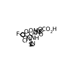 COC(=O)C1=C([C@@H]2CCN(S(=O)(=O)CC(=O)O)C2)NC(c2nccs2)=N[C@H]1c1ccc(F)cc1Cl